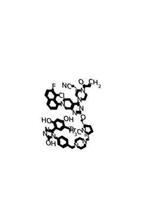 C=CC(=O)N1CCN(c2nc(OC[C@@H]3CC[C@H](CN4CCN(Cc5ccc(-n6c(O)nnc6-c6cc(C(C)C)c(O)cc6O)cc5)CC4)N3C)nc3c2CCN(c2cccc4ccc(F)c(Cl)c24)C3)C[C@@H]1CC#N